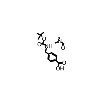 CC(C)(C)OC(=O)NCc1ccc(C(=O)O)cc1.CN(C)C=O